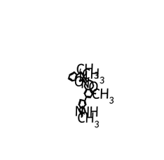 Cc1nc2ccc(-c3cc(C)c4c(c3)CN(C(=O)N(C)[C@H](C)c3ccccc3)CCO4)cc2[nH]1